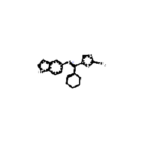 Nc1ncc(/C(=N/c2ccc3[nH]ccc3c2)C2=CCCCC2)s1